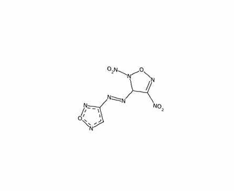 O=[N+]([O-])C1=NON([N+](=O)[O-])C1N=Nc1cnon1